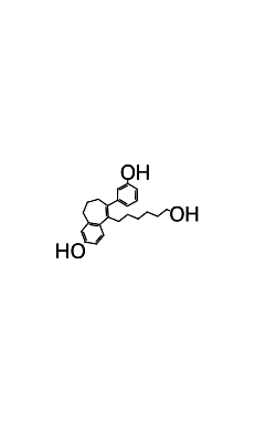 OCCCCCCC1=C(c2cccc(O)c2)CCCc2cc(O)ccc21